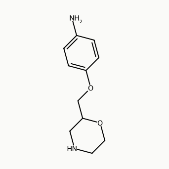 Nc1ccc(OCC2CNCCO2)cc1